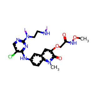 CONC(=O)COc1cc2cc(Nc3nc(N(I)CCNI)ncc3Cl)ccc2n(C)c1=O